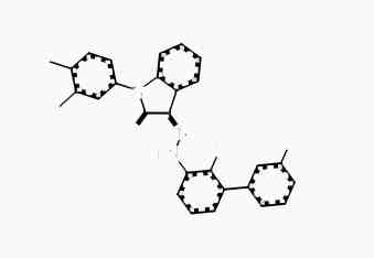 Cc1ccc(N2C(=O)C(=NNc3cccc(-c4cccc(C(=O)O)c4)c3O)c3ccccc32)cc1C